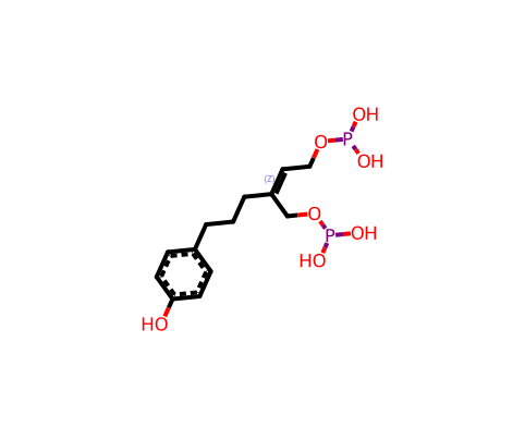 Oc1ccc(CCC/C(=C/COP(O)O)COP(O)O)cc1